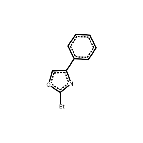 CCc1nc(-c2ccccc2)co1